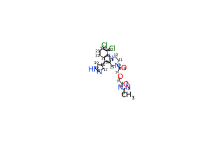 Cc1noc(COCC(=O)N2CCn3c(c(-c4cn[nH]c4)c4ccc(Cl)c(Cl)c43)C2)n1